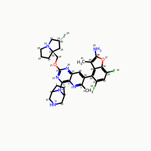 Cc1nc2c(N3C4CCC3CNC4)nc(OC[C@@]34CCCN3C[C@H](F)C4)nc2cc1-c1c(F)cc(F)c2oc(N)c(C)c12